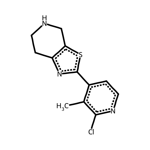 Cc1c(-c2nc3c(s2)CNCC3)ccnc1Cl